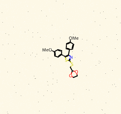 COc1ccc(-c2nc(SCC3OCCO3)sc2-c2ccc(OC)cc2)cc1